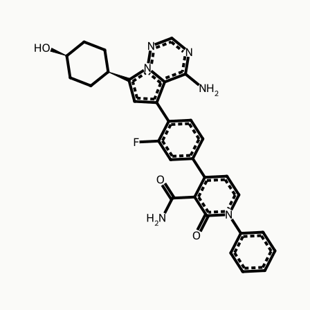 NC(=O)c1c(-c2ccc(-c3cc([C@H]4CC[C@@H](O)CC4)n4ncnc(N)c34)c(F)c2)ccn(-c2ccccc2)c1=O